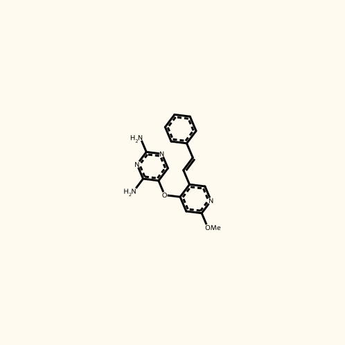 COc1cc(Oc2cnc(N)nc2N)c(/C=C/c2ccccc2)cn1